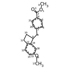 COC(=O)c1ccc(CC2CCc3ccc(OC)cc32)cc1